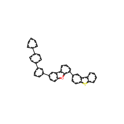 c1ccc(-c2ccc(-c3cccc(-c4ccc5oc6c(-c7ccc8sc9ccccc9c8c7)cccc6c5c4)c3)cc2)cc1